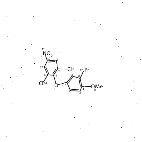 COc1ccc(Oc2c(Cl)cc([N+](=O)[O-])cc2Cl)cc1C(C)C